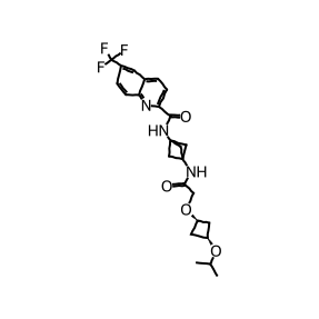 CC(C)O[C@H]1C[C@@H](OCC(=O)NC23CC(NC(=O)c4ccc5cc(C(F)(F)F)ccc5n4)(C2)C3)C1